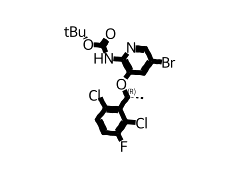 C[C@@H](Oc1cc(Br)cnc1NC(=O)OC(C)(C)C)c1c(Cl)ccc(F)c1Cl